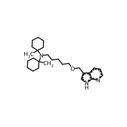 CC1(N(CCCCCOCc2c[nH]c3ncccc23)C2(C)CCCCC2)CCCCC1